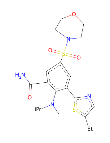 CCc1cnc(-c2cc(S(=O)(=O)N3CCOCC3)cc(C(N)=O)c2N(C)C(C)C)s1